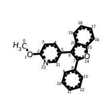 COc1ccc(-c2c(-c3ccccc3)oc3ccccc23)cn1